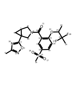 Cc1noc(C23CC2CN(C(=O)c2cc(S(C)(=O)=O)ccc2OC(C)C(C)(F)F)C3)n1